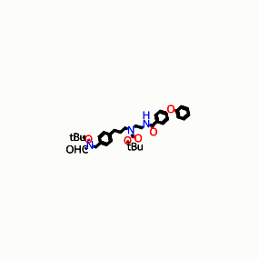 CC(C)(C)OC(=O)N(CCCc1ccc(CN(C=O)OC(C)(C)C)cc1)CCNC(=O)c1ccc(Oc2ccccc2)cc1